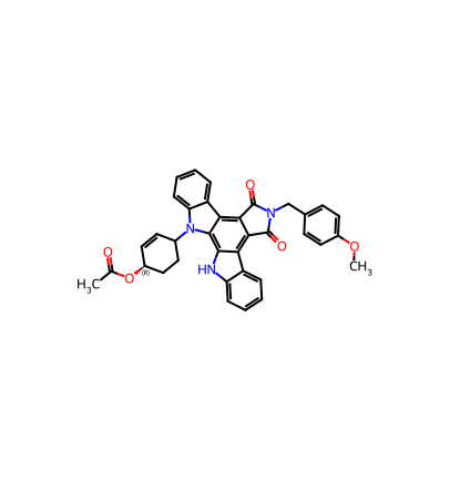 COc1ccc(CN2C(=O)c3c(c4c5ccccc5n(C5C=C[C@H](OC(C)=O)CC5)c4c4[nH]c5ccccc5c34)C2=O)cc1